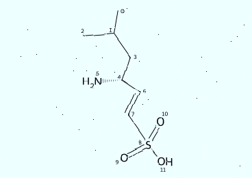 CC(C)C[C@@H](N)C=CS(=O)(=O)O